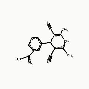 CC1=C(C#N)C(c2cccc(C(N)=O)c2)C(C#N)=C(C)N1